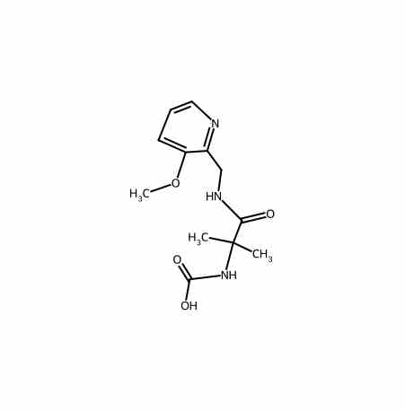 COc1cccnc1CNC(=O)C(C)(C)NC(=O)O